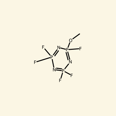 COP1(F)=NP(F)(F)=NP(F)(F)=N1